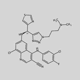 CN(C)CCCn1cc([C@@H](Nc2cc(Cl)c3ncc(C#N)c(Nc4ccc(F)c(Cl)c4)c3c2)c2cscn2)nn1